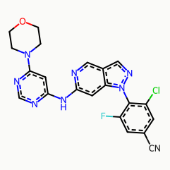 N#Cc1cc(F)c(-n2ncc3cnc(Nc4cc(N5CCOCC5)ncn4)cc32)c(Cl)c1